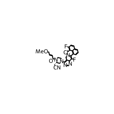 COC/C=C/C(=O)N1CCN(c2ncnc3c(F)c(-c4cccc5ccc(F)c(Cl)c45)ncc23)C[C@@H]1CC#N